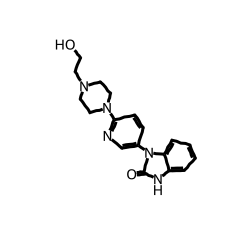 O=c1[nH]c2ccccc2n1-c1ccc(N2CCN(CCO)CC2)nc1